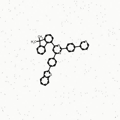 CC1(C)c2ccccc2-c2c(-c3cc(-c4ccc(-c5cc6ccccc6s5)cc4)nc(-c4ccc(-c5cccnc5)cc4)n3)cccc21